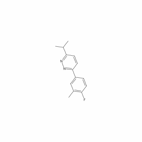 Cc1cc(-c2ccc(C(C)C)nn2)ccc1F